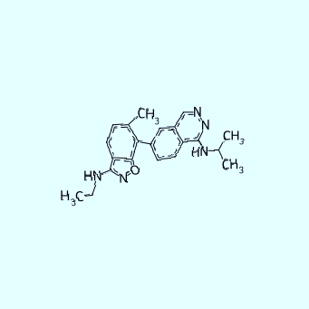 CCNc1noc2c(-c3ccc4c(NC(C)C)nncc4c3)c(C)ccc12